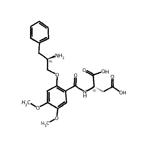 COc1cc(OC[C@H](N)Cc2ccccc2)c(C(=O)N[C@@H](CC(=O)O)C(=O)O)cc1OC